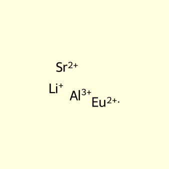 [Al+3].[Eu+2].[Li+].[Sr+2]